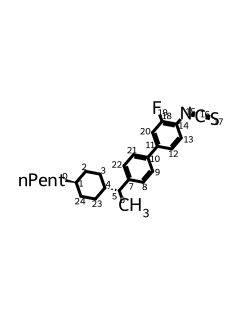 CCCCC[C@H]1CC[C@H](C(C)c2ccc(-c3ccc(N=C=S)c(F)c3)cc2)CC1